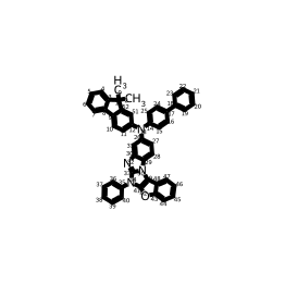 CC1(C)c2ccccc2-c2ccc(N(c3ccc(-c4ccccc4)cc3)c3ccc4c(c3)nc3n(-c5ccccc5)c5oc6ccccc6c5n43)cc21